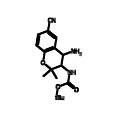 CC(C)(C)OC(=O)NC1C(N)c2cc(C#N)ccc2OC1(C)C